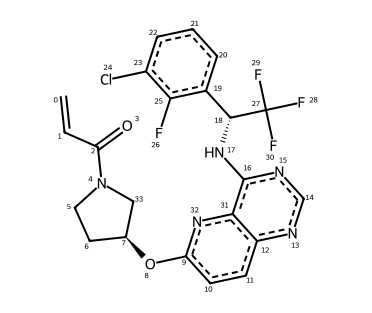 C=CC(=O)N1CC[C@H](Oc2ccc3ncnc(N[C@H](c4cccc(Cl)c4F)C(F)(F)F)c3n2)C1